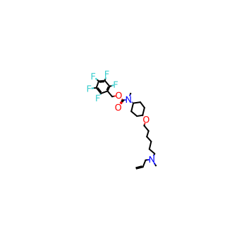 C=CCN(C)CCCCCCO[C@H]1CC[C@H](N(C)C(=O)OCc2c(F)c(F)c(F)c(F)c2F)CC1